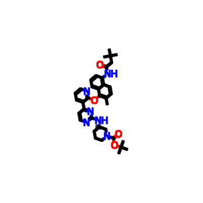 Cc1ccc2c(NC(=O)CC(C)(C)C)cccc2c1Oc1ncccc1-c1ccnc(N[C@H]2CCCN(C(=O)OC(C)(C)C)C2)n1